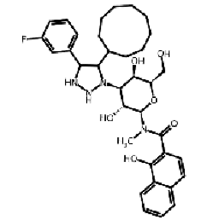 CN(C(=O)c1ccc2ccccc2c1O)[C@@H]1O[C@H](CO)[C@H](O)[C@H](N2NNC(c3cccc(F)c3)C2C2CCCCCCCC2)[C@H]1O